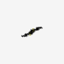 CCCCc1ccc(CCc2cc3cc4c(C)c5sc(CCc6ccc(CCCC)cc6)cc5cc4c(C)c3s2)cc1